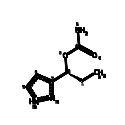 CC[C@@H](OC(N)=O)c1cc[nH]n1